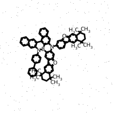 CC1(C)CCC(C)(C)c2cc3c(cc21)oc1cc(N2c4cc5oc6cc7c(cc6c5cc4B4c5c2cc2ccccc2c5-c2cc5ccccc5cc2N4c2ccc(-c4ccccc4)cc2)C(C)(C)CCC7(C)C)ccc13